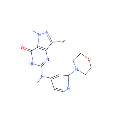 CCCc1nn(C)c2c(=O)[nH]c(N(C)c3ccnc(N4CCOCC4)c3)nc12